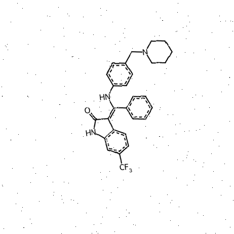 O=C1Nc2cc(C(F)(F)F)ccc2C1=C(Nc1ccc(CN2CCCCC2)cc1)c1ccccc1